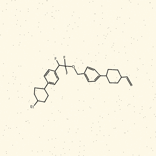 C=CC1CCC(c2ccc(COC(F)(F)C(F)c3ccc(C4CCC(CC)CC4)cc3)cc2)CC1